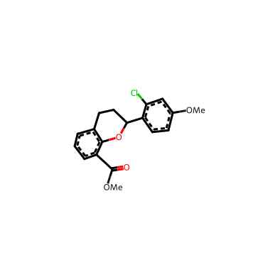 COC(=O)c1cccc2c1OC(c1ccc(OC)cc1Cl)CC2